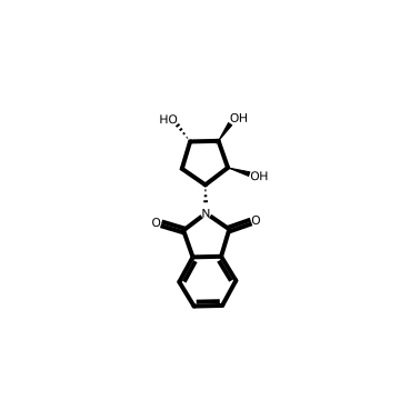 O=C1c2ccccc2C(=O)N1[C@@H]1C[C@H](O)[C@@H](O)[C@H]1O